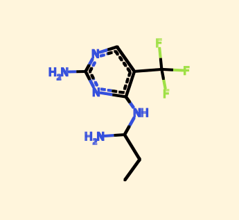 CCC(N)Nc1nc(N)ncc1C(F)(F)F